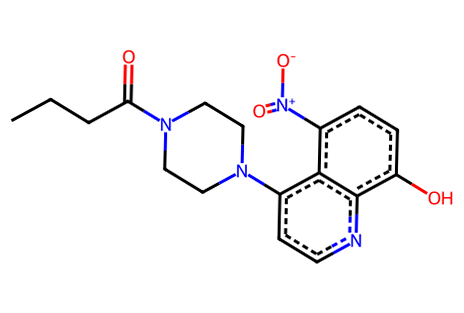 CCCC(=O)N1CCN(c2ccnc3c(O)ccc([N+](=O)[O-])c23)CC1